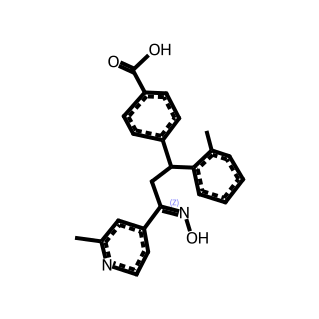 Cc1cc(/C(CC(c2ccc(C(=O)O)cc2)c2ccccc2C)=N\O)ccn1